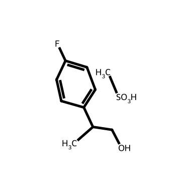 CC(CO)c1ccc(F)cc1.CS(=O)(=O)O